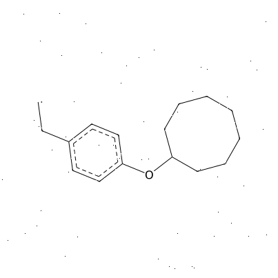 [CH2]Cc1ccc(OC2CCCCCCC2)cc1